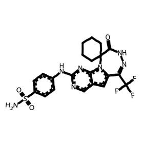 NS(=O)(=O)c1ccc(Nc2ncc3cc4n(c3n2)C2(CCCCC2)C(=O)NN=C4C(F)(F)F)cc1